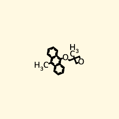 Cc1c2ccccc2c(OCC2(C)COC2)c2ccccc12